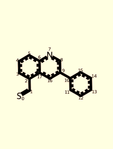 S=Cc1cccc2ncc(-c3ccccc3)cc12